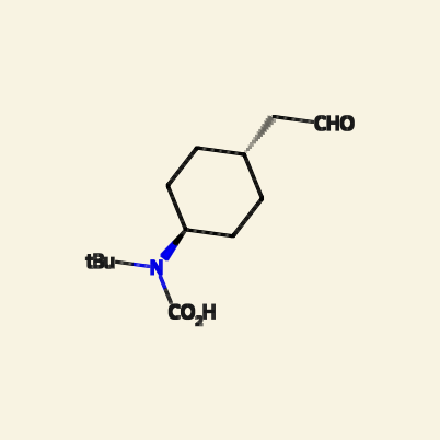 CC(C)(C)N(C(=O)O)[C@H]1CC[C@H](CC=O)CC1